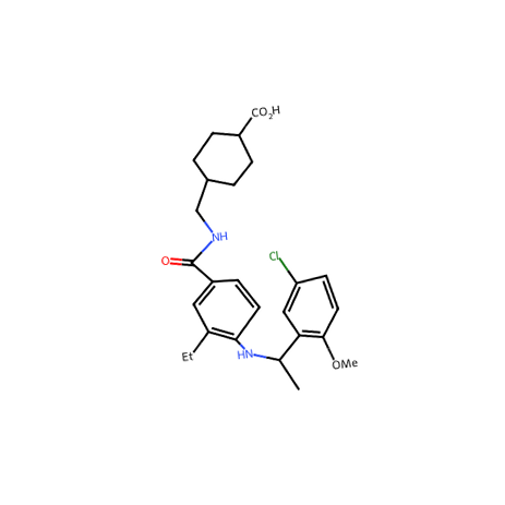 CCc1cc(C(=O)NCC2CCC(C(=O)O)CC2)ccc1NC(C)c1cc(Cl)ccc1OC